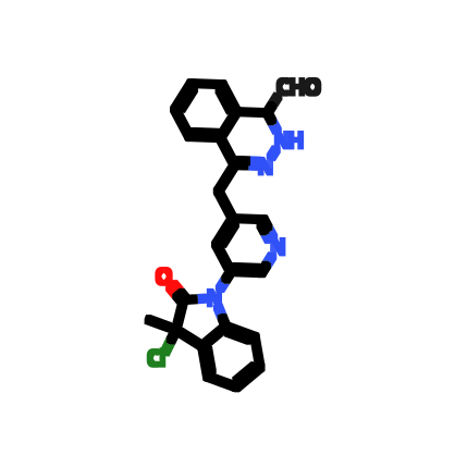 CC1(Cl)C(=O)N(c2cncc(CC3=NNC(C=O)c4ccccc43)c2)c2ccccc21